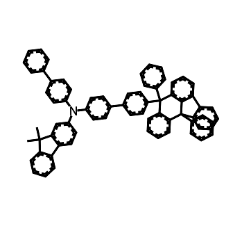 CC1(C)c2ccccc2-c2ccc(N(c3ccc(-c4ccccc4)cc3)c3ccc(-c4ccc(C5(c6ccccc6)c6ccccc6C6(c7ccccc7)c7ccccc7-c7cccc5c76)cc4)cc3)cc21